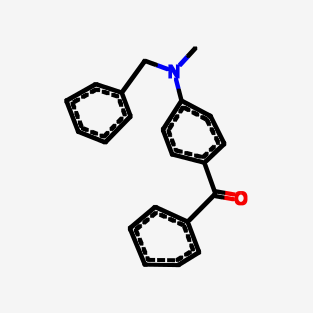 CN(Cc1ccccc1)c1ccc(C(=O)c2ccccc2)cc1